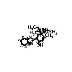 CCC(C)(C)C1(C(C)(C)CC)C=CC(O)C(n2nc3ccccc3n2)=C1